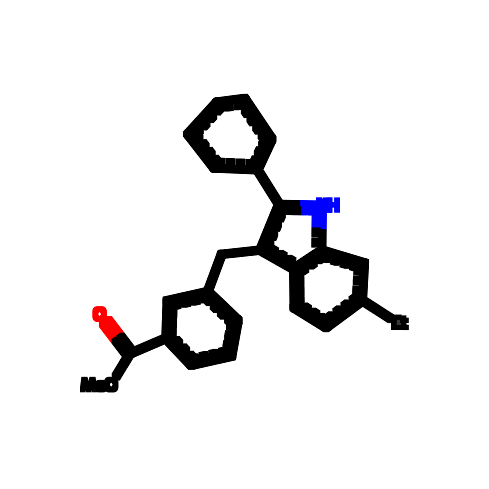 CCc1ccc2c(Cc3cccc(C(=O)OC)c3)c(-c3ccccc3)[nH]c2c1